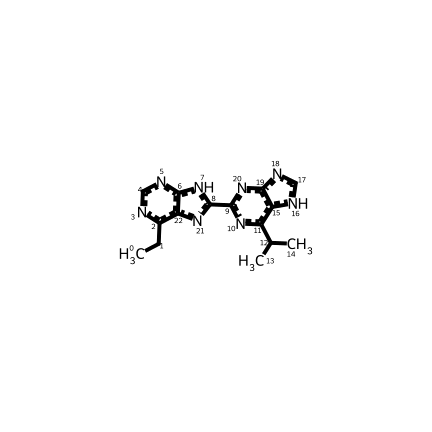 CCc1ncnc2[nH]c(-c3nc(C(C)C)c4[nH]cnc4n3)nc12